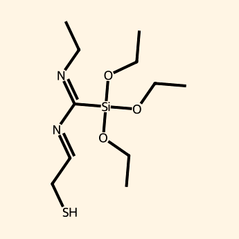 CCN=C(N=CCS)[Si](OCC)(OCC)OCC